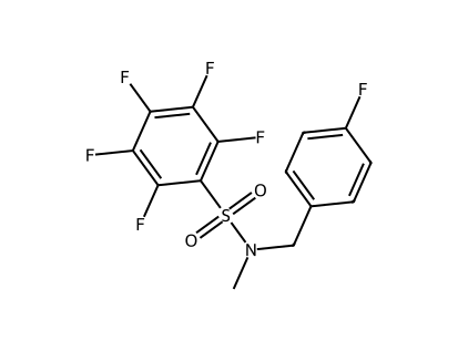 CN(Cc1ccc(F)cc1)S(=O)(=O)c1c(F)c(F)c(F)c(F)c1F